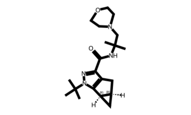 CC(C)(CN1CCOCC1)NC(=O)c1nn(C(C)(C)C)c2c1C[C@H]1C[C@@H]21